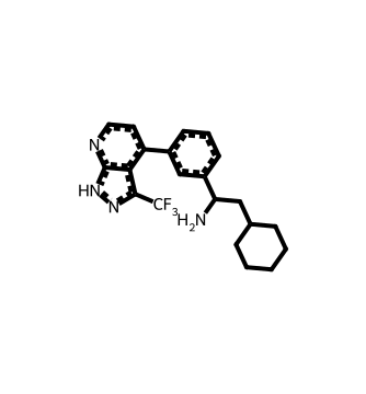 NC(CC1CCCCC1)c1cccc(-c2ccnc3[nH]nc(C(F)(F)F)c23)c1